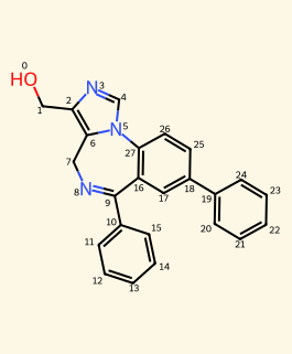 OCc1ncn2c1CN=C(c1ccccc1)c1cc(-c3ccccc3)ccc1-2